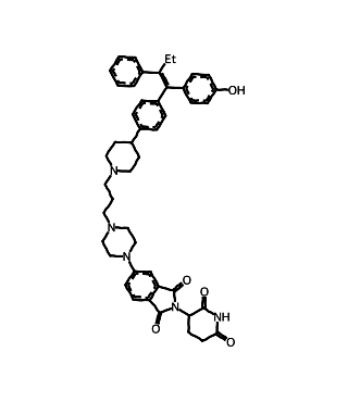 CC/C(=C(\c1ccc(O)cc1)c1ccc(C2CCN(CCCN3CCN(c4ccc5c(c4)C(=O)N(C4CCC(=O)NC4=O)C5=O)CC3)CC2)cc1)c1ccccc1